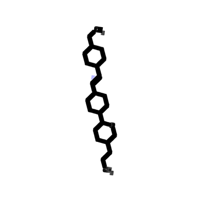 CCCC1CCC(C2CCC(/C=C/C3CCC(CC)CC3)CC2)OC1